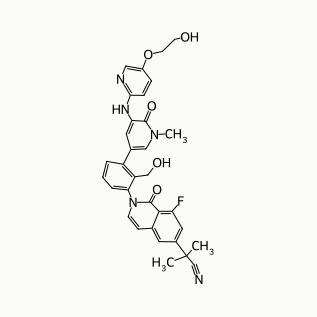 Cn1cc(-c2cccc(-n3ccc4cc(C(C)(C)C#N)cc(F)c4c3=O)c2CO)cc(Nc2ccc(OCCO)cn2)c1=O